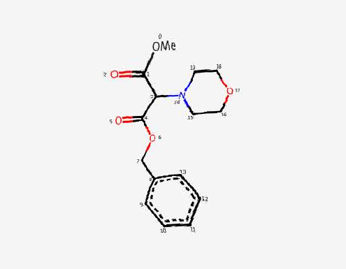 COC(=O)C(C(=O)OCc1ccccc1)N1CCOCC1